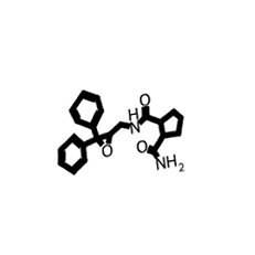 NC(=O)C1CCCC1C(=O)NCC1OC1(c1ccccc1)c1ccccc1